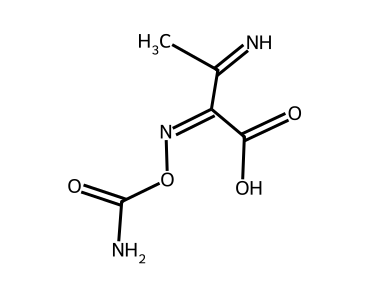 CC(=N)C(=NOC(N)=O)C(=O)O